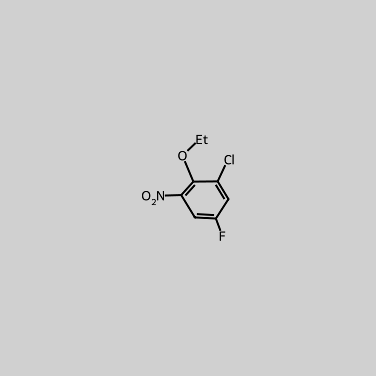 CCOc1c(Cl)cc(F)cc1[N+](=O)[O-]